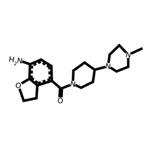 CN1CCN(C2CCN(C(=O)c3ccc(N)c4c3CCO4)CC2)CC1